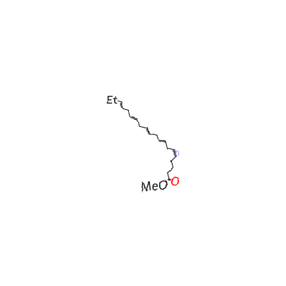 CCC=CCC=CCC=CCC=CC/C=C\CCCC(=O)OC